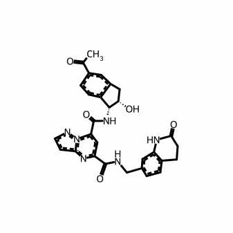 CC(=O)c1ccc2c(c1)C[C@H](O)[C@@H]2NC(=O)c1cc(C(=O)NCc2ccc3c(c2)NC(=O)CC3)nc2ccnn12